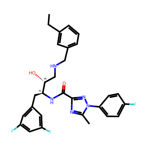 CCc1cccc(CNC[C@@H](O)[C@H](Cc2cc(F)cc(F)c2)NC(=O)c2nc(C)n(-c3ccc(F)cc3)n2)c1